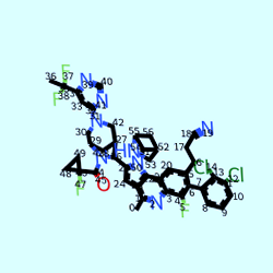 Cc1nc2c(F)c(-c3cccc(Cl)c3Cl)c(CCC#N)cc2c2c1cc(C1C3CC(CN(c4cc(C(C)(F)F)ncn4)C3)N1C(=O)C1(F)CC1)n2C1C2CNC1C2